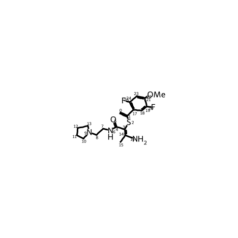 C=C(S/C(C(=O)NCCN1CCCC1)=C(/C)N)c1cc(F)c(OC)cc1F